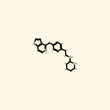 c1cc2sccc2c(Cc2ccc(CCOC3CCCCO3)cc2)n1